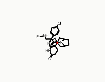 CC(C)NCC(C(=O)N1CC2CCC(C1)N2c1ncnc2c1CCC(=O)N2)c1ccc(Cl)cc1